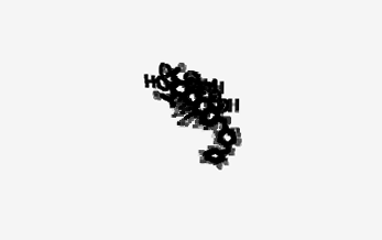 CC(=O)C1=C(O)C(C(C)C)[C@@]2(C)[C@H](C)[C@]3(C)C(=C(O)[C@@]2(O)C1=O)C(=O)c1c(ccc(CC2CCC(Cc4ccccc4)CC2)c1O)[C@H]3C